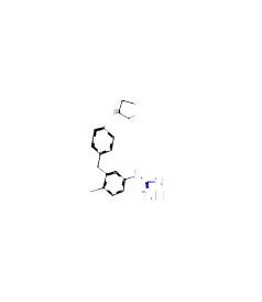 N=C(N)Nc1ccc(Cl)c(Cc2ccc(O[C@@H]3CCOC3)cc2)c1